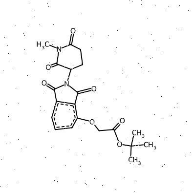 CN1C(=O)CCC(N2C(=O)c3cccc(OCC(=O)OC(C)(C)C)c3C2=O)C1=O